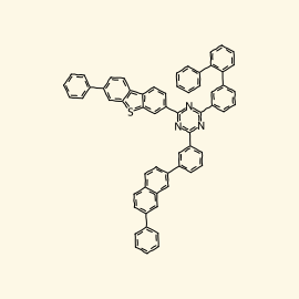 c1ccc(-c2ccc3ccc(-c4cccc(-c5nc(-c6cccc(-c7ccccc7-c7ccccc7)c6)nc(-c6ccc7c(c6)sc6cc(-c8ccccc8)ccc67)n5)c4)cc3c2)cc1